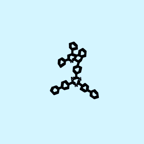 c1ccc(-c2ccc(-c3nc(-c4ccc(-c5ccccc5)cc4)nc(-c4ccc(-c5cc6ccccc6c6c(-c7ccccc7)cc(-c7ccccc7)nc56)cc4)n3)cc2)cc1